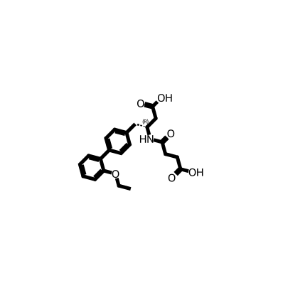 CCOc1ccccc1-c1ccc(C[C@H](CC(=O)O)NC(=O)CCC(=O)O)cc1